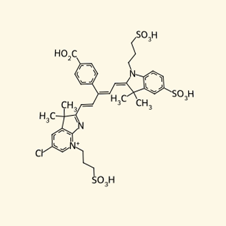 CC1(C)C(/C=C/C(=C/C=C2/N(CCCS(=O)(=O)O)c3ccc(S(=O)(=O)O)cc3C2(C)C)c2ccc(C(=O)O)cc2)=Nc2c1cc(Cl)c[n+]2CCCS(=O)(=O)O